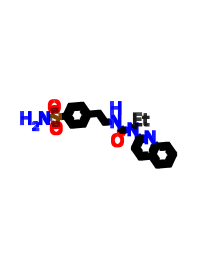 CCN(C(=O)NCCc1ccc(S(N)(=O)=O)cc1)c1ccc2ccccc2n1